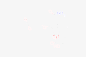 CS(=O)(=O)CCCOc1cc(C(N)=O)cc2c(C(F)F)c(C(F)(F)P(=O)(O)O)sc12